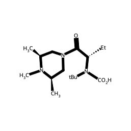 CC[C@@H](C(=O)N1C[C@@H](C)N(C)[C@@H](C)C1)N(C(=O)O)C(C)(C)C